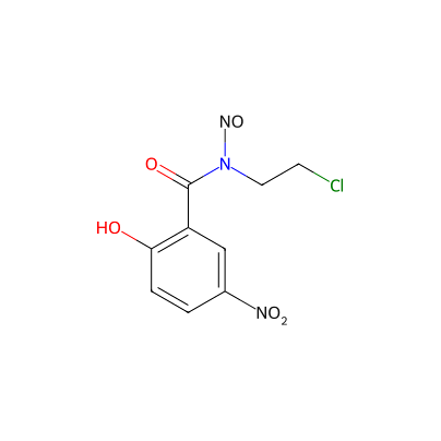 O=NN(CCCl)C(=O)c1cc([N+](=O)[O-])ccc1O